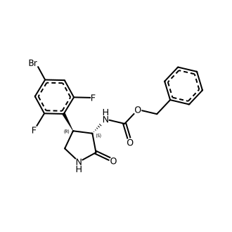 O=C(N[C@@H]1C(=O)NC[C@H]1c1c(F)cc(Br)cc1F)OCc1ccccc1